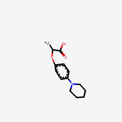 CC(Oc1ccc(N2CCCCC2)cc1)C(=O)O